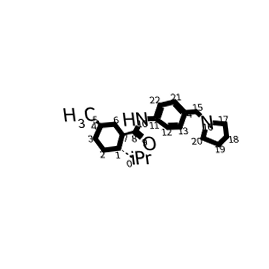 CC(C)[C@@H]1CC[C@@H](C)C[C@H]1C(=O)Nc1ccc(CN2CCCC2)cc1